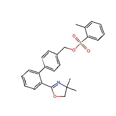 Cc1ccccc1S(=O)(=O)OCc1ccc(-c2ccccc2C2=NC(C)(C)CO2)cc1